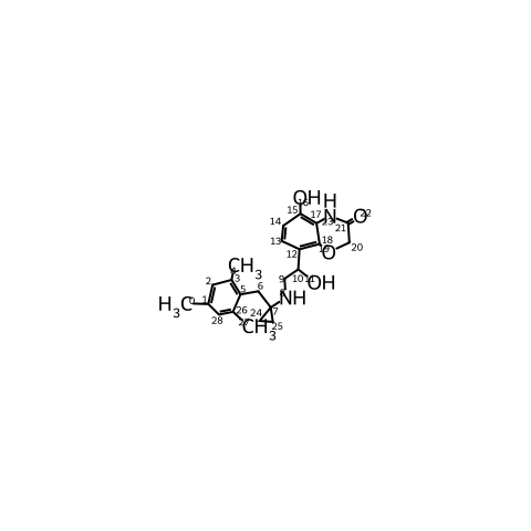 Cc1cc(C)c(CC2(NCC(O)c3ccc(O)c4c3OCC(=O)N4)CC2)c(C)c1